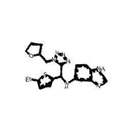 CCc1ccc(C(Nc2ccc3[nH]cnc3c2)c2nnnn2CC2CCCO2)s1